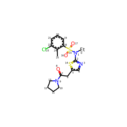 [CH2]CN(c1ncc(CC(=O)N2CCCC2)s1)S(=O)(=O)c1cccc(Cl)c1C